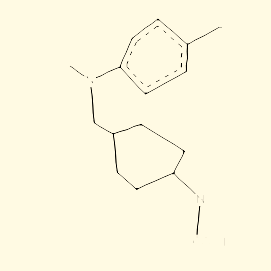 CN(CC1CCC(NC(=O)O)CC1)c1ccc(I)cc1